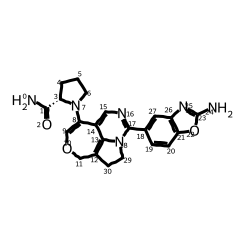 NC(=O)[C@@H]1CCCN1C1=COCC2=C3C1=CN=C(c1ccc4oc(N)nc4c1)N3CC2